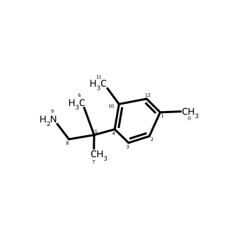 Cc1ccc(C(C)(C)CN)c(C)c1